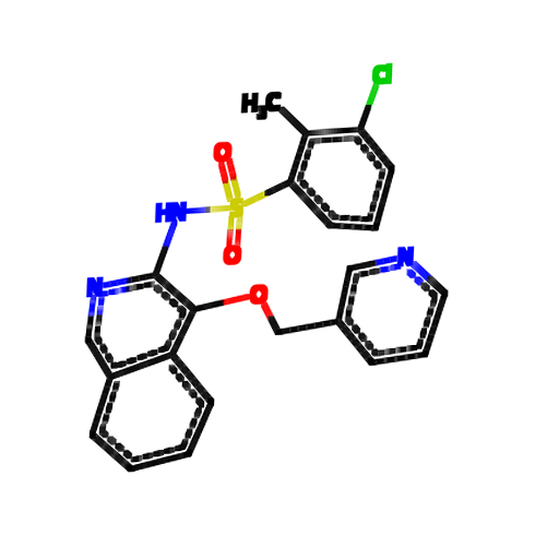 Cc1c(Cl)cccc1S(=O)(=O)Nc1ncc2ccccc2c1OCc1cccnc1